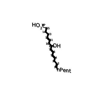 CCCCCC=CCC=CC=CC(O)CC=CCCCC(=O)O